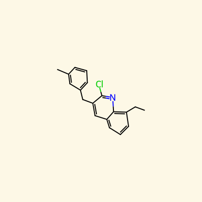 CCc1cccc2cc(Cc3cccc(C)c3)c(Cl)nc12